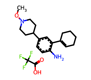 CON1CCC(c2ccc(N)c(C3=CCCCC3)c2)CC1.O=C(O)C(F)(F)F